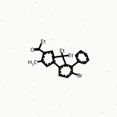 CCC(=O)c1cc2c(cc1C)-c1ccc(Br)c(-c3ccccc3)c1C2(CC)CC